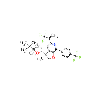 C=C(c1cc2c(c(-c3ccc(C(F)(F)F)cc3)n1)OCC2(C)CO[Si](C)(C)C(C)(C)C)C(F)(F)F